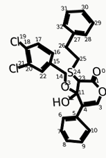 O=C1OC=C(c2ccccc2)C(O)(OCc2ccc(Cl)c(Cl)c2)C1SCCc1ccccc1